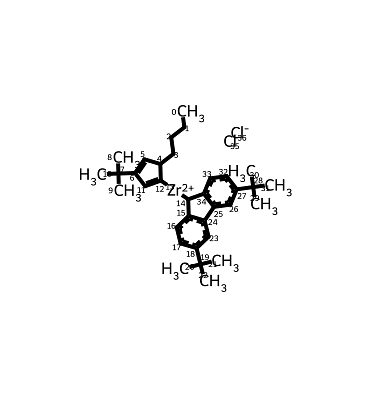 CCCCC1C=C(C(C)(C)C)C=[C]1[Zr+2][CH]1c2ccc(C(C)(C)C)cc2-c2cc(C(C)(C)C)ccc21.[Cl-].[Cl-]